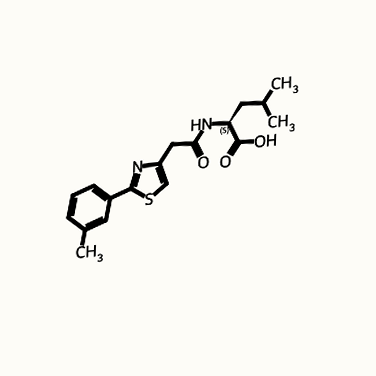 Cc1cccc(-c2nc(CC(=O)N[C@@H](CC(C)C)C(=O)O)cs2)c1